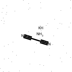 N.N#CC#N.[KH]